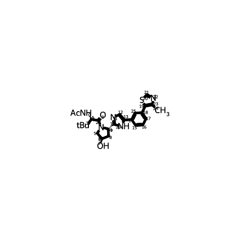 CC(=O)N[C@H](C(=O)N1C[C@H](O)C[C@H]1c1ncc(-c2cccc(-c3scnc3C)c2)[nH]1)C(C)(C)C